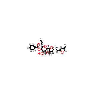 C=CC[C@@H]1O[C@@]2(C)C3O[C@H](CC[C@H]4CC(=C)CO4)C[C@H]3O[C@H]2[C@@H](O)[C@H]1OC(=O)c1ccccc1